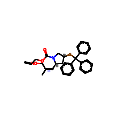 C=CCOC(=O)N1C[C@@H](SC(c2ccccc2)(c2ccccc2)c2ccccc2)C[C@H]1/C=C(/C)CO